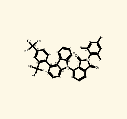 Cc1cc(C)c(N2C(=O)c3cccc(-n4c5ccccc5c5c(-c6ccc(C(F)(F)F)cc6C(F)(F)F)cccc54)c3C2=O)c(C)c1